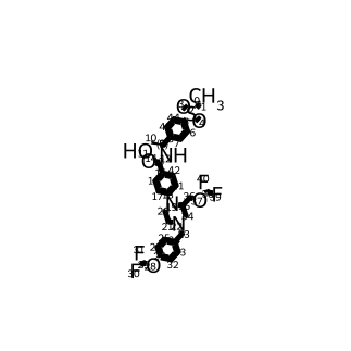 CCS(=O)(=O)c1ccc([C@H](CO)NC(=O)c2ccc(N3CCN(Cc4ccc(OC(F)F)cc4)CC3COC(F)F)cc2)cc1